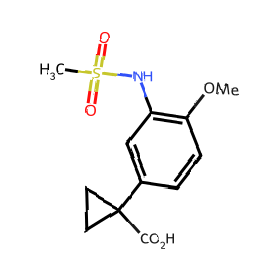 COc1ccc(C2(C(=O)O)CC2)cc1NS(C)(=O)=O